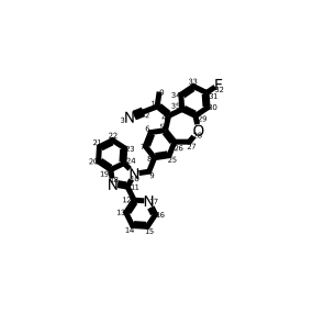 C/C(C#N)=C1/c2ccc(Cn3c(-c4ccccn4)nc4ccccc43)cc2COc2cc(F)ccc21